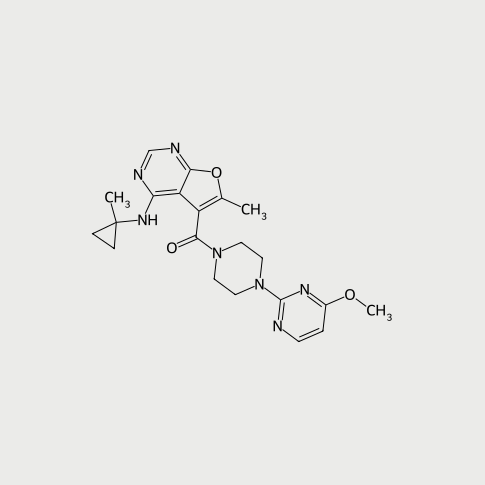 COc1ccnc(N2CCN(C(=O)c3c(C)oc4ncnc(NC5(C)CC5)c34)CC2)n1